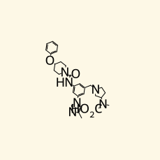 Cc1cn(-c2cc(CN3CCC(N(C)C(=O)O)C3)cc(NC(=O)N3CCC(Oc4ccccc4)CC3)c2)cn1